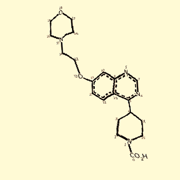 O=C(O)N1CCC(c2ncnc3cc(OCCN4CCOCC4)ccc23)CC1